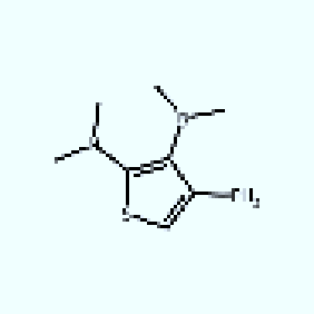 CN(C)c1scc(P)c1N(C)C